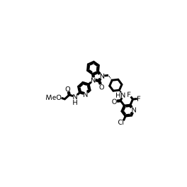 COCC(=O)Nc1ccc(-n2c(=O)n(C[C@H]3CC[C@H](NC(=O)c4cc(Cl)cnc4C(F)F)CC3)c3ccccc32)cn1